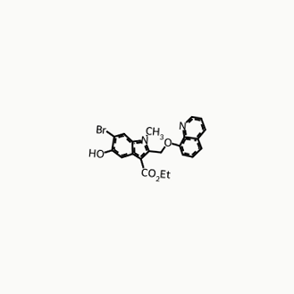 CCOC(=O)c1c(COc2cccc3cccnc23)n(C)c2cc(Br)c(O)cc12